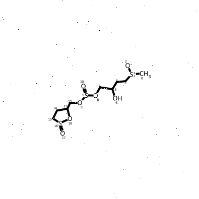 C[S+]([O-])CCC(O)COS(=O)OCC1CCS(=O)O1